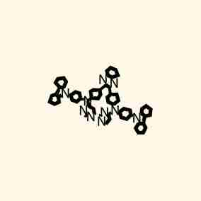 c1ccc2nc(-c3ccc(N(c4ccc(-n5c6ccccc6c6ccccc65)cc4)c4ccncn4)cc3)c(-c3ccc(N(c4ccc(-n5c6ccccc6c6ccccc65)cc4)c4ccncn4)cc3)nc2c1